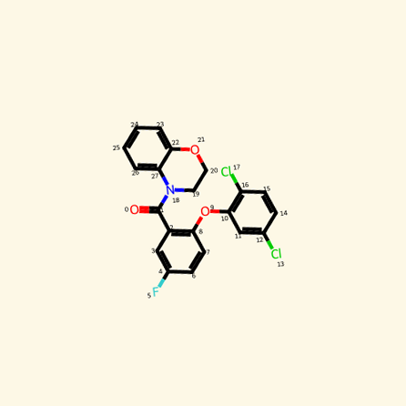 O=C(c1cc(F)ccc1Oc1cc(Cl)ccc1Cl)N1CCOc2ccccc21